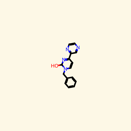 OC1N=C(c2cnccn2)C=CN1Cc1ccccc1